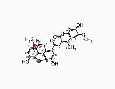 COc1cc2c(C)c(CC(=O)c3cc(O)c4c5c3C[C@@H]3[C@@H]6C=C[C@H](O)[C@H](O4)[C@]56CCN3C)c(=O)oc2cc1O